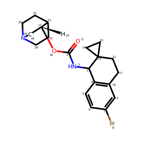 O=C(NC1c2ccc(Br)cc2CCC12CC2)O[C@@H]1CN2CCC1CC2